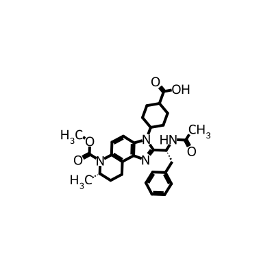 COC(=O)N1c2ccc3c(nc([C@@H](Cc4ccccc4)NC(C)=O)n3C3CCC(C(=O)O)CC3)c2CC[C@@H]1C